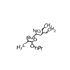 C=CC(C=C)CC(COC(OCCC)C(C)C(C)CC)[N+](=O)[O-]